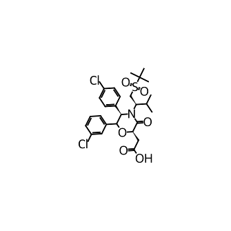 CC(C)[C@H](CS(=O)(=O)C(C)(C)C)N1C(=O)[C@@H](CC(=O)O)OC(c2cccc(Cl)c2)[C@H]1c1ccc(Cl)cc1